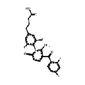 Nc1c(C(=O)c2ccc(F)cc2F)ccc(=O)n1-c1c(F)cc(CCCC(=O)O)cc1F